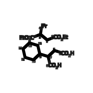 CCOC(=O)CC(C(=O)OCC)C(C)C.O=C(O)CC(C(=O)O)C1CCCCC1